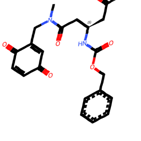 COC(=O)C[C@H](CC(=O)N(C)CC1=CC(=O)C=CC1=O)NC(=O)OCc1ccccc1